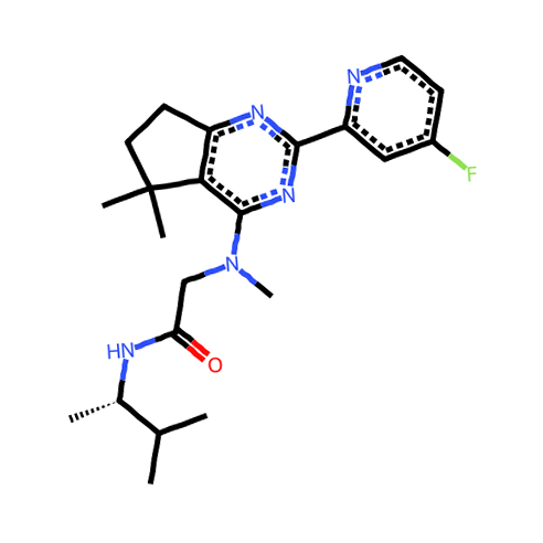 CC(C)[C@H](C)NC(=O)CN(C)c1nc(-c2cc(F)ccn2)nc2c1C(C)(C)CC2